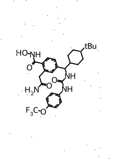 CC(C)(C)C1CCC(C(NC(=O)Nc2ccc(OC(F)(F)F)cc2)c2ccc(C(=O)NO)c(CC(N)=O)c2)CC1